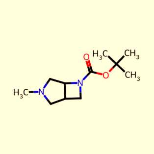 CN1CC2CN(C(=O)OC(C)(C)C)C2C1